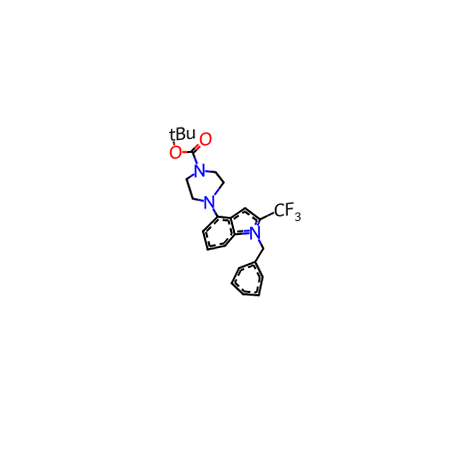 CC(C)(C)OC(=O)N1CCN(c2cccc3c2cc(C(F)(F)F)n3Cc2ccccc2)CC1